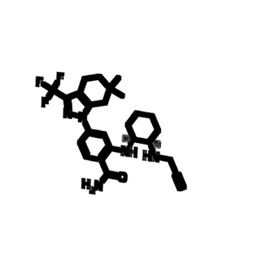 C#CCN[C@@H]1CCCC[C@H]1Nc1cc(-n2nc(C(F)(F)F)c3c2CC(C)(C)CC3)ccc1C(N)=O